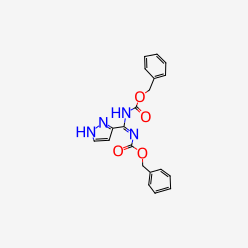 O=C(N=C(NC(=O)OCc1ccccc1)c1cc[nH]n1)OCc1ccccc1